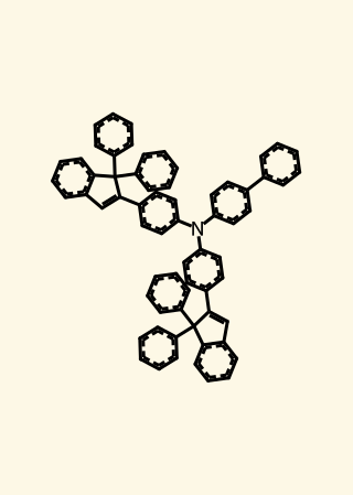 C1=C(c2ccc(N(c3ccc(C4=Cc5ccccc5C4(c4ccccc4)c4ccccc4)cc3)c3ccc(-c4ccccc4)cc3)cc2)C(c2ccccc2)(c2ccccc2)c2ccccc21